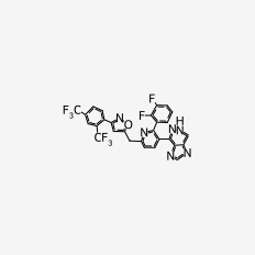 Fc1cccc(-c2nc(Cc3cc(-c4ccc(C(F)(F)F)cc4C(F)(F)F)no3)ccc2-c2n[nH]cc3ncnc2-3)c1F